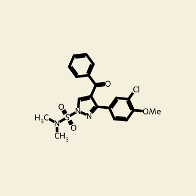 COc1ccc(-c2nn(S(=O)(=O)N(C)C)cc2C(=O)c2ccccc2)cc1Cl